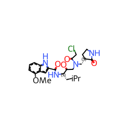 COc1cccc2[nH]c(C(=O)N[C@@H](CC(C)C)C(=O)CN(C[C@@H]3CCNC3=O)C(=O)CCl)cc12